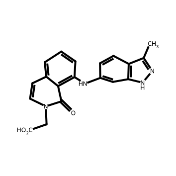 Cc1n[nH]c2cc(Nc3cccc4ccn(CC(=O)O)c(=O)c34)ccc12